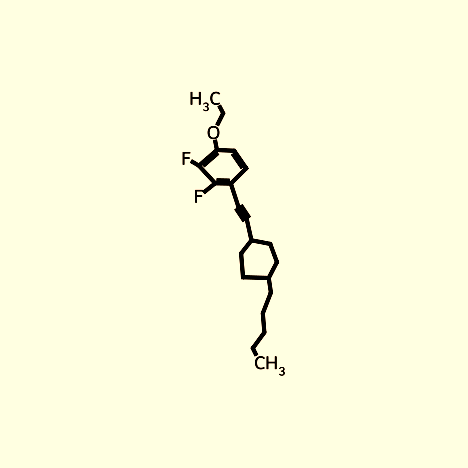 CCCCCC1CCC(C#Cc2ccc(OCC)c(F)c2F)CC1